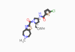 COC[C@@H]1C[C@@H](NC(=O)c2ccc(Cl)s2)CN1C(=O)c1nc2c(s1)CCN(C)CC2